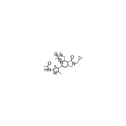 CC(=O)Nc1nc(C)c(-c2cc3c(c(CN(C)S(C)(=O)=O)n2)C(=O)N([C@@H](C)C2CC2)C3)s1